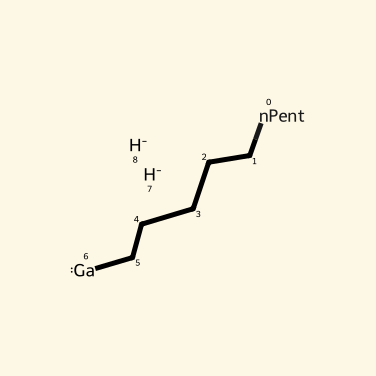 CCCCCCCCC[CH2][Ga].[H-].[H-]